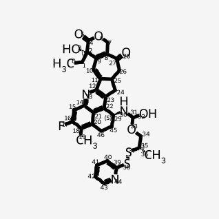 CC[C@@]1(O)C(=O)OCC2=C1C=C1c3nc4cc(F)c(C)c5c4c(c3CC1CC2=O)[C@@H](NC(O)OC[C@H](C)SSc1ccccn1)CC5